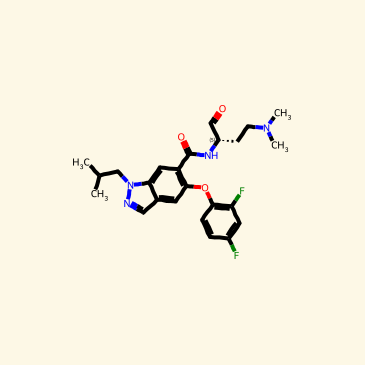 CC(C)Cn1ncc2cc(Oc3ccc(F)cc3F)c(C(=O)N[C@H](C=O)CCN(C)C)cc21